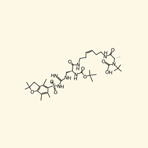 Cc1c(C)c(S(=O)(=O)NC(=N)NC[C@H](NC(=O)OC(C)(C)C)C(=O)NCC/C=C\CCNC(=O)[C@H](C)N(C(=O)O)C(C)(C)C)c(C)c2c1OC(C)(C)C2